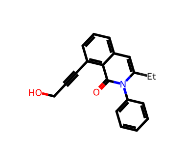 CCc1cc2cccc(C#CCO)c2c(=O)n1-c1ccccc1